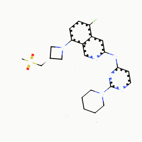 CO[C@@H]1CCN(c2nccc(Nc3cc4c(F)ccc(N5C[C@H](CS(C)(=O)=O)[C@H]5C)c4cn3)n2)C[C@@H]1F